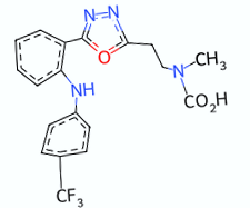 CN(CCc1nnc(-c2ccccc2Nc2ccc(C(F)(F)F)cc2)o1)C(=O)O